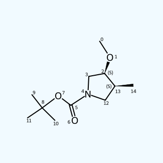 CO[C@@H]1CN(C(=O)OC(C)(C)C)C[C@@H]1C